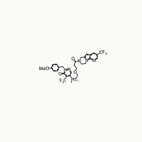 COc1ccc(Cn2ncc(N(C)[C@@H](C)COCCC(=O)N3CCn4c(cc5cc(C(F)(F)F)cnc54)C3)c(C(F)(F)F)c2=O)cc1